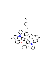 CC(C)(C)c1ccc(CSc2ccc(C3(c4ccc(C(C)(C)C)cc4)c4cc(N(c5ccccc5)c5ccc(C(C)(C)C)cc5)c5c(c4-c4c3cc(N(c3ccccc3)c3ccc(C(C)(C)C)cc3)c3c4oc4ccccc43)-c3ccccc3C5)cc2)cc1